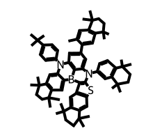 Cc1cc2c(cc1-c1cc3c4c(c1)N(c1ccc5c(c1)C(C)(C)CCC5(C)C)c1sc5cc6c(cc5c1B4c1cc4c(cc1N3c1ccc(C(C)(C)C)cc1)C(C)(C)CCC4(C)C)C(C)(C)CCC6(C)C)C(C)(C)CCC2(C)C